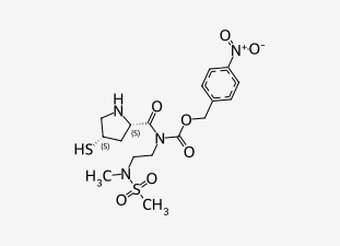 CN(CCN(C(=O)OCc1ccc([N+](=O)[O-])cc1)C(=O)[C@@H]1C[C@H](S)CN1)S(C)(=O)=O